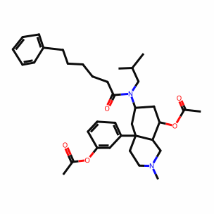 CC(=O)Oc1cccc(C23CCN(C)CC2C(OC(C)=O)CC(N(CC(C)C)C(=O)CCCCCc2ccccc2)C3)c1